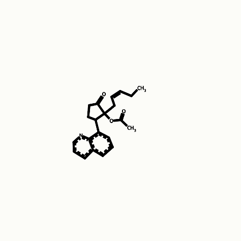 CC/C=C\CC1(OC(C)=O)C(=O)CCC1c1cccc2cccnc12